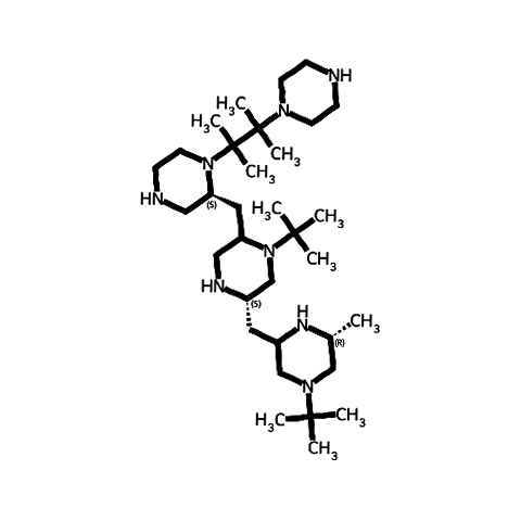 C[C@@H]1CN(C(C)(C)C)CC(C[C@H]2CN(C(C)(C)C)C(C[C@H]3CNCCN3C(C)(C)C(C)(C)N3CCNCC3)CN2)N1